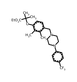 CCOC(=O)C(C)(C)Oc1ccc(CN2CCN(c3ccc(C(F)(F)F)cc3)CC2)c(C)c1C